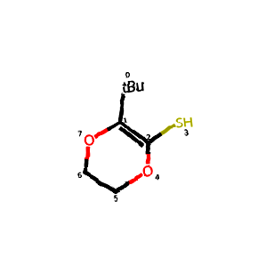 CC(C)(C)C1=C(S)OCCO1